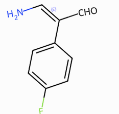 N/C=C(/C=O)c1ccc(F)cc1